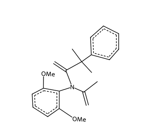 C=C(C)N(C(=C)C(C)(C)c1ccccc1)c1c(OC)cccc1OC